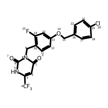 O=c1cc(C(F)(F)F)[nH]c(=O)n1Cc1ccc(OCc2ccc(Cl)cc2)cc1F